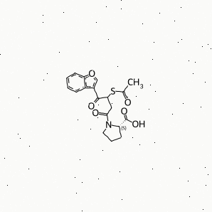 CC(=O)SC(CC(=O)N1CCC[C@H]1C(=O)O)C(=O)c1coc2ccccc12